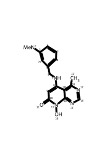 CNc1cccc(CNc2cc(=O)n(O)c3ncnc(C)c23)c1